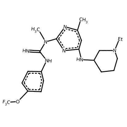 CCN1CCCC(Nc2cc(C)nc(N(C)C(=N)Nc3ccc(OC(F)(F)F)cc3)n2)C1